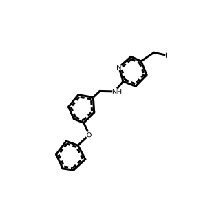 ICc1ccc(NCc2cccc(Oc3ccccc3)c2)nc1